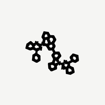 c1ccc(-c2nc(-n3c4ccccc4c4cc(-c5cc6ccc7cccc8c7c6c(c5)n8-c5nc(-c6ccccc6)c6ccccc6n5)ccc43)nc3ccccc23)cc1